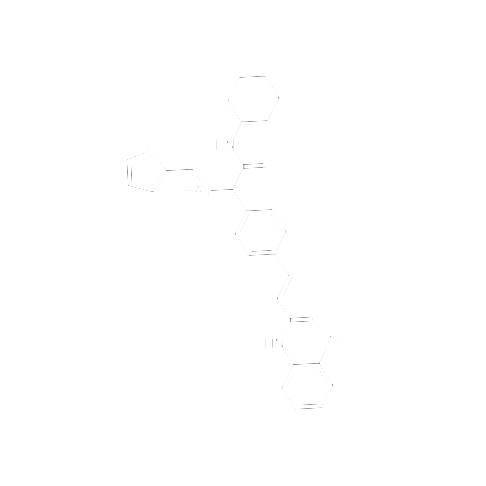 O=C(C=Cc1ccc(C([AsH]Cc2cccs2)C(=O)NC2CCCCC2)cc1)Nc1ccccc1[AsH2]